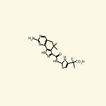 CC1(C)Cc2cnc(N)nc2-c2[nH]nc(C(=O)NC3NC(C(F)(F)C(=O)O)=CS3)c21